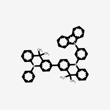 CC1(C)c2ccccc2N(c2ccccc2)c2ccc(-c3ccc4c(c3)C(C)(C)c3ccccc3N4c3cccc(-n4c5ccccc5c5ccccc54)c3)cc21